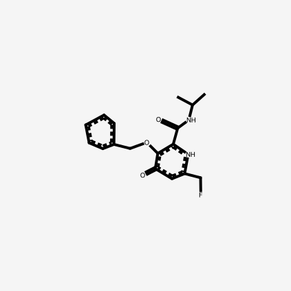 CC(C)NC(=O)c1[nH]c(CF)cc(=O)c1OCc1ccccc1